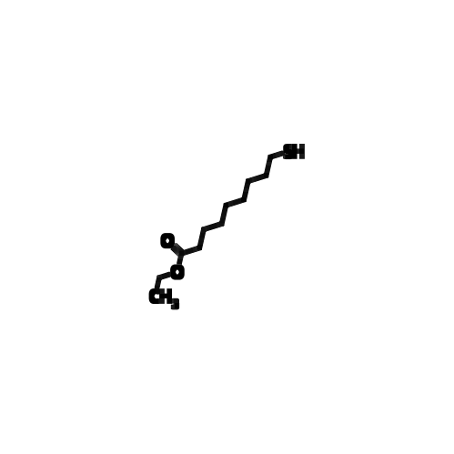 CCOC(=O)CCCCCCCCS